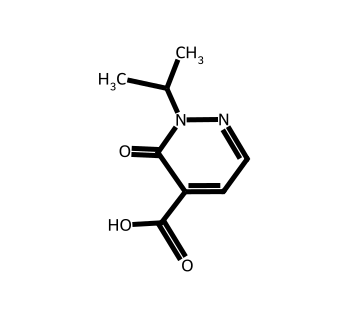 CC(C)n1nccc(C(=O)O)c1=O